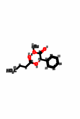 CCCCOC(=O)[C@@H](OC(=O)CCC(=O)O)c1ccccc1